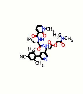 Cc1cc(C#N)cc(C)c1-c1cncc([C@H](CC(=O)OCC(=O)N(C)C)NC(=O)[C@H](CC(C)C)NC(=O)c2cccn(C)c2=O)c1